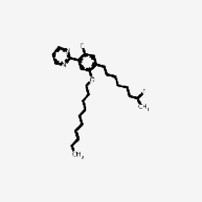 CCCCCCCCCCOc1cc(-c2ncccn2)c(F)cc1CCCCCCC(C)F